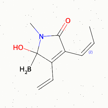 BC1(O)C(C=C)=C(/C=C\C)C(=O)N1C